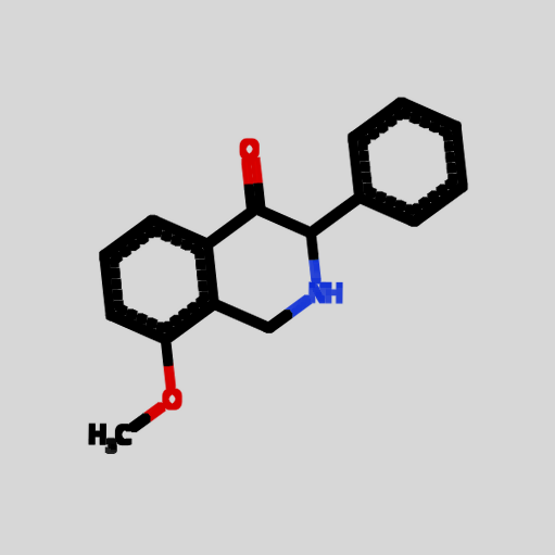 COc1cccc2c1CNC(c1ccccc1)C2=O